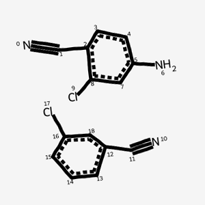 N#Cc1ccc(N)cc1Cl.N#Cc1cccc(Cl)c1